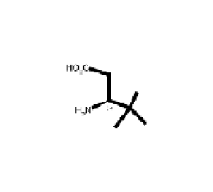 CC(C)(C)[C@@H](N)CC(=O)O